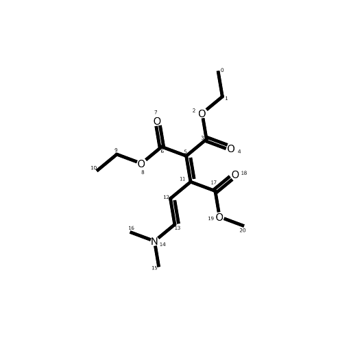 CCOC(=O)C(C(=O)OCC)=C(C=CN(C)C)C(=O)OC